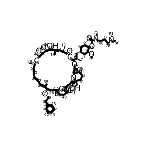 CO[C@@H]1C[C@H](C[C@@H](C)[C@@H]2CC(=O)[C@H](C)/C=C(\C)[C@@H](O)[C@@H](OC)C(=O)[C@H](C)C[C@H](C)/C=C/C=C/C=C(\C)C(OCCc3ccccc3)C[C@@H]3CC[C@@H](C)[C@@](O)(O3)C(O)C(=O)N3CCCCC3C(=O)O2)CC[C@H]1OC(=O)N(C)CCCN(C)C